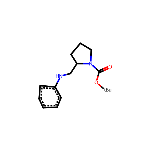 CC(C)(C)OC(=O)N1CCCC1CNc1ccccc1